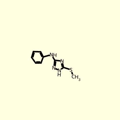 CSc1nc(Nc2ccccc2)n[nH]1